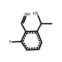 CC(S)c1cccc(F)c1C=N